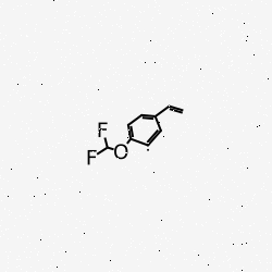 C=Cc1c[c]c(OC(F)F)cc1